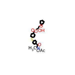 CC(=O)O/N=C(\C)C(=O)c1ccc(Sc2ccc(C(=O)OCC(O)COc3ccccc3)cc2)cc1